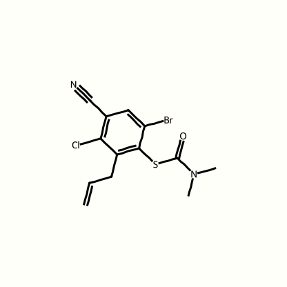 C=CCc1c(Cl)c(C#N)cc(Br)c1SC(=O)N(C)C